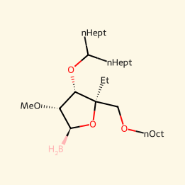 B[C@@H]1O[C@](CC)(COCCCCCCCC)[C@@H](OC(CCCCCCC)CCCCCCC)[C@H]1OC